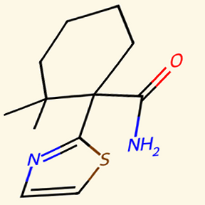 CC1(C)CCCCC1(C(N)=O)c1nccs1